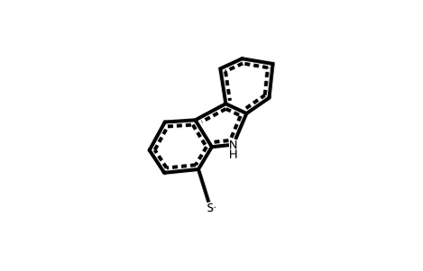 [S]c1cccc2c1[nH]c1ccccc12